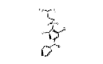 CC(C)CNS(=O)(=O)c1c(Cl)cc(C(Br)c2ccccc2)cc1Cl